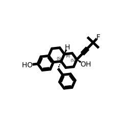 CC(C)(F)C#C[C@]1(O)CC[C@@]2(Cc3ccccc3)c3ccc(O)cc3CC[C@@H]2C1